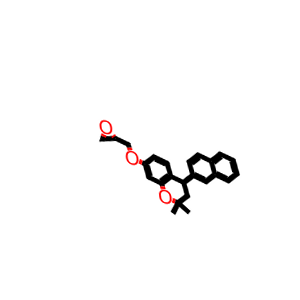 CC1(C)CC(c2ccc3ccccc3c2)c2ccc(OCC3CO3)cc2O1